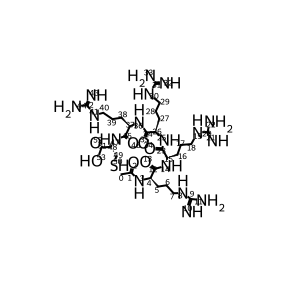 CC(=O)N[C@H](CCCNC(=N)N)C(=O)N[C@H](CCCNC(=N)N)C(=O)N[C@H](CCCNC(=N)N)C(=O)N[C@H](CCCNC(=N)N)C(=O)N[C@H](CS)C(=O)O